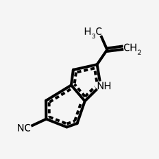 C=C(C)c1cc2cc(C#N)ccc2[nH]1